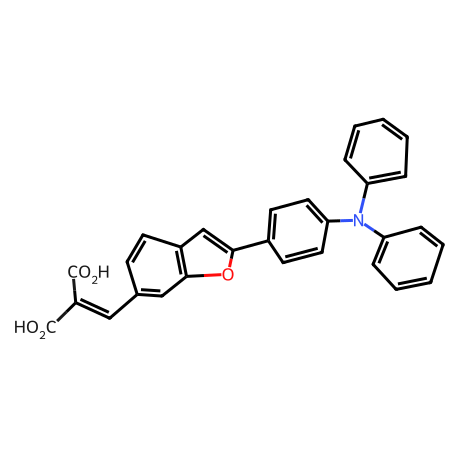 O=C(O)C(=Cc1ccc2cc(-c3ccc(N(c4ccccc4)c4ccccc4)cc3)oc2c1)C(=O)O